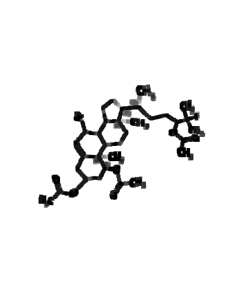 CC(=O)OC1CC2=CC(Br)C3C4CC[C@H]([C@H](C)CCC(OC(C)=O)C(C)(C)F)[C@@]4(C)CCC3[C@@]2(C)[C@@H](OC(C)=O)C1